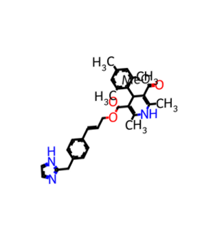 COC(=O)C1=C(C)NC(C)=C(C(=O)OCC=Cc2ccc(Cc3ncc[nH]3)cc2)C1c1c(C)cc(C)cc1C